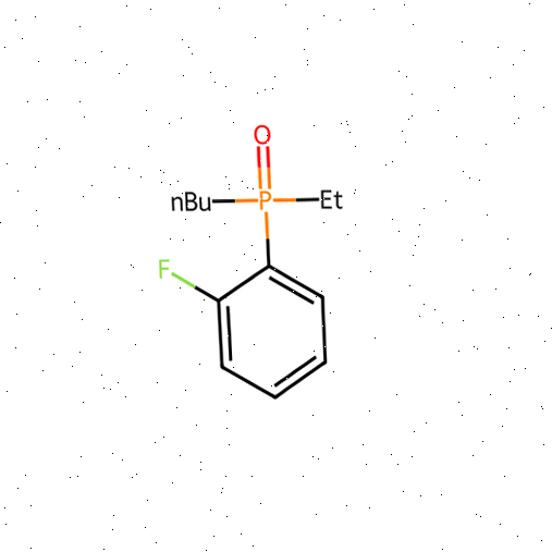 CCCCP(=O)(CC)c1ccccc1F